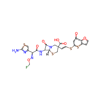 Nc1nc(C(=NOCF)C(=O)NC2C(=O)N3CC(C=CSc4cc(=O)c5occc5s4)(C(=O)O)CS[C@H]23)cs1